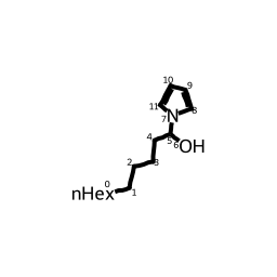 CCCCCCCCCCC(O)n1cccc1